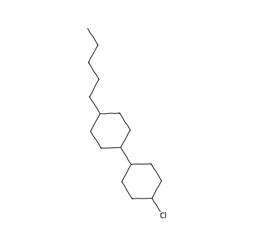 CCCCCC1CCC(C2CCC(Cl)CC2)CC1